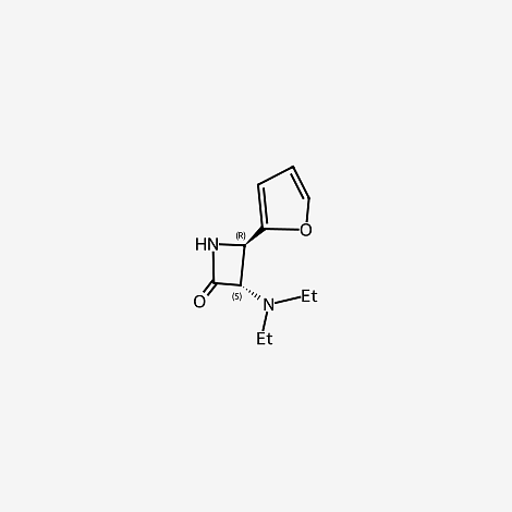 CCN(CC)[C@@H]1C(=O)N[C@H]1c1ccco1